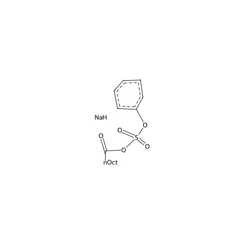 CCCCCCCCC(=O)OS(=O)(=O)Oc1ccccc1.[NaH]